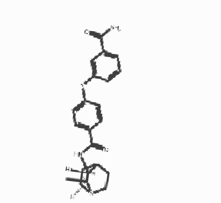 C[C@H]1[C@H](NC(=O)c2ccc(Sc3cccc(C(N)=O)c3)cc2)C2CCN1CC2